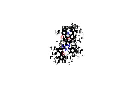 Bc1c(B)c(B)c(-c2nc(-c3c(B)c(B)c4c(oc5c(B)c(B)c(B)c(-n6c7c(B)c(B)c(B)c(B)c7c7c(B)c(B)c(B)c(B)c76)c54)c3B)nc(-c3c(B)c(B)c(B)c4c3oc3c(B)c(B)c(B)c(B)c34)n2)c(B)c1B